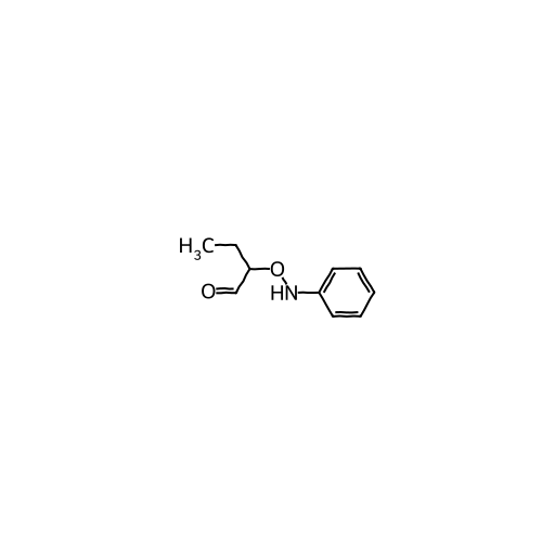 CCC(C=O)ONc1ccccc1